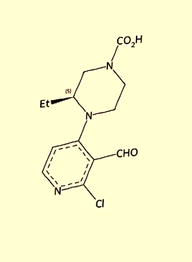 CC[C@H]1CN(C(=O)O)CCN1c1ccnc(Cl)c1C=O